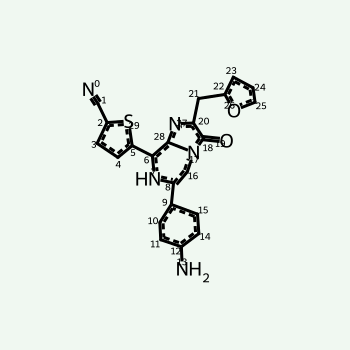 N#Cc1ccc(-c2[nH]c(-c3ccc(N)cc3)cn3c(=O)c(Cc4ccco4)nc2-3)s1